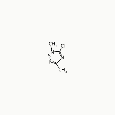 CC1=NSN(C)C(Cl)=N1